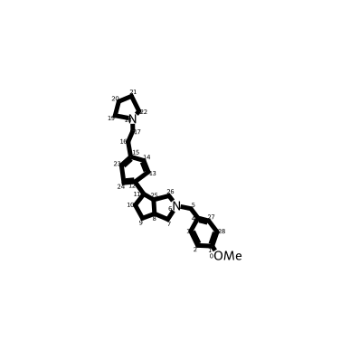 COc1ccc(CN2CC3CCC(c4ccc(CCN5CCCC5)cc4)C3C2)cc1